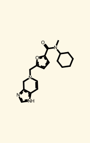 CN(C(=O)c1ccc(CN2C=Cc3[nH]cnc3C2)o1)C1CCCCC1